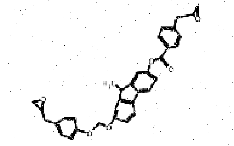 CC1c2cc(OCOc3ccc(CC4CO4)cc3)ccc2-c2ccc(OC(=O)c3ccc(CC4CO4)cc3)cc21